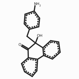 Nc1ccc(CC2(O)C(=O)c3ccccc3-c3ccccc32)cc1